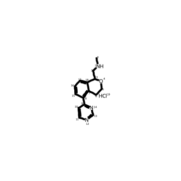 CNCC1OCCc2c(-c3ccncn3)cccc21.Cl